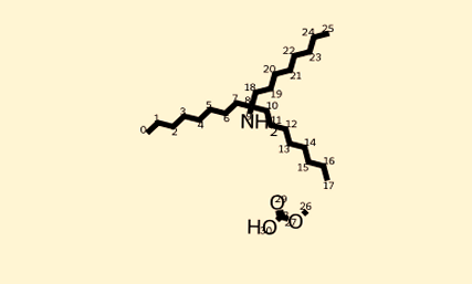 CCCCCCCCC(N)(CCCCCCCC)CCCCCCCC.COC(=O)O